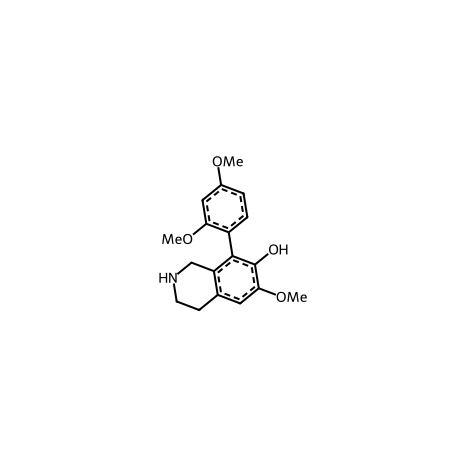 COc1ccc(-c2c(O)c(OC)cc3c2CNCC3)c(OC)c1